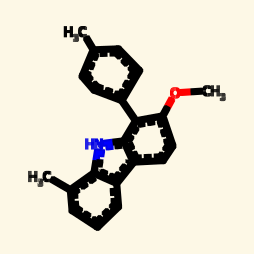 COc1ccc2c([nH]c3c(C)cccc32)c1-c1ccc(C)cc1